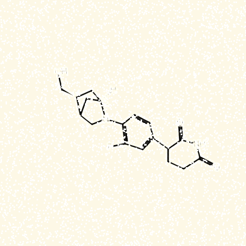 O=C1CCC(c2ccc(N3CC4C[C@H]3C[C@@H]4CO)c(F)c2)C(=O)N1